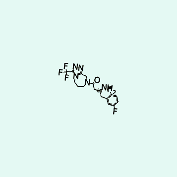 N[C@@H](CC(=O)N1CCCn2c(nnc2C(F)(F)F)C1)Cc1cc(F)ccc1F